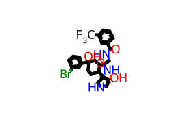 O=C(CNC(=O)c1cccc(C(F)(F)F)c1)N[C@@]1(C2CCC(O)(c3cccc(Br)c3)CC2)CNC[C@@H]1O